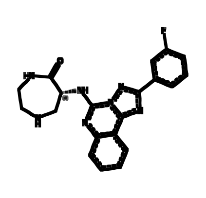 O=C1NCCNC[C@H]1Nc1nc2ccccc2c2nc(-c3cccc(F)c3)nn12